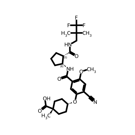 COc1cc(C#N)c(O[C@H]2CC[C@@](C)(C(=O)O)CC2)cc1C(=O)N[C@@H]1CCC[C@@H]1C(=O)NCC(C)(C)C(F)(F)F